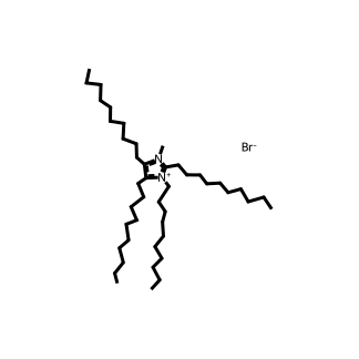 CCCCCCCCCCc1c(CCCCCCCCCC)[n+](CCCCCCCCCC)c(CCCCCCCCCC)n1C.[Br-]